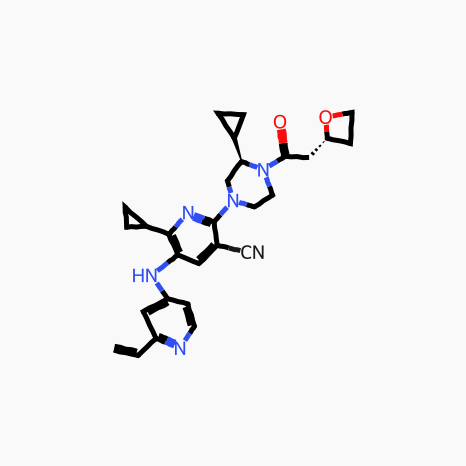 C=Cc1cc(Nc2cc(C#N)c(N3CCN(C(=O)C[C@H]4CCO4)[C@H](C4CC4)C3)nc2C2CC2)ccn1